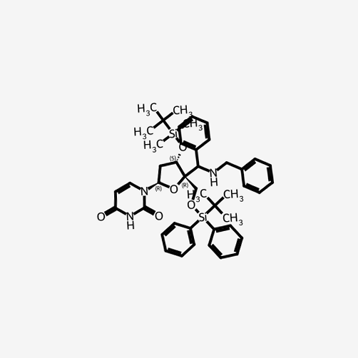 CC(C)(C)[Si](C)(C)O[C@H]1C[C@H](n2ccc(=O)[nH]c2=O)O[C@@]1(CO[Si](c1ccccc1)(c1ccccc1)C(C)(C)C)C(NCc1ccccc1)c1ccccc1